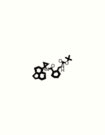 CC(C)(C)OC(=O)NCc1ccccc1C(=O)NC1(c2ccc3c4c(cccc24)CC3)CC1